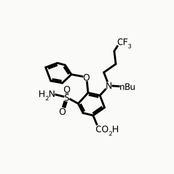 CCCCN(CCCC(F)(F)F)c1cc(C(=O)O)cc(S(N)(=O)=O)c1Oc1ccccc1